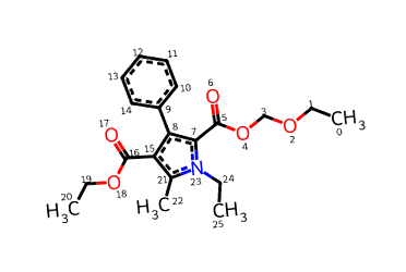 CCOCOC(=O)c1c(-c2ccccc2)c(C(=O)OCC)c(C)n1CC